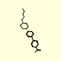 C=C(C)c1ccc(-c2ccc([C@H]3CC[C@H](CCCCC)CC3)cc2)cc1